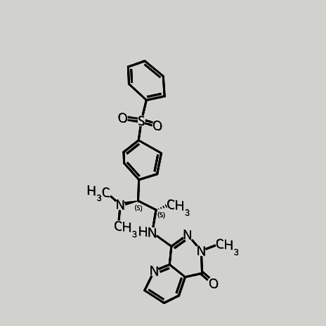 C[C@H](Nc1nn(C)c(=O)c2cccnc12)[C@H](c1ccc(S(=O)(=O)c2ccccc2)cc1)N(C)C